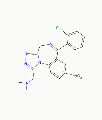 CN(C)Cc1nnc2n1-c1ccc([N+](=O)[O-])cc1C(c1ccccc1Cl)=NC2